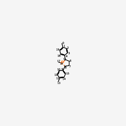 Cc1ccc(C2CCC(c3ccc(C)cc3)P2C)cc1